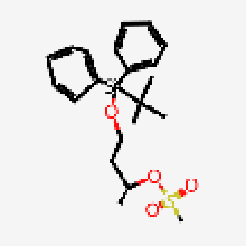 C[C@@H](CCO[Si](c1ccccc1)(c1ccccc1)C(C)(C)C)OS(C)(=O)=O